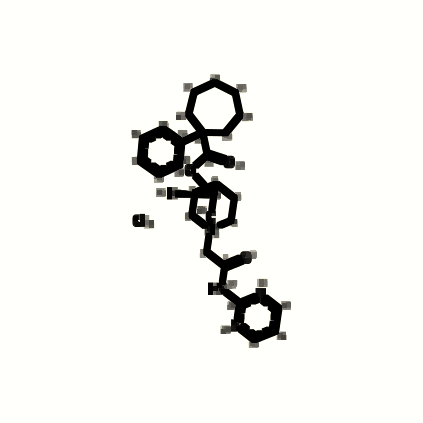 O=C(C[N+]12CCC(CC1)[C@@H](OC(=O)C1(c3ccccc3)CCCCCC1)C2)Nc1ncccn1.[Cl-]